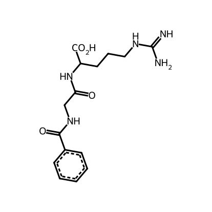 N=C(N)NCCCC(NC(=O)CNC(=O)c1ccccc1)C(=O)O